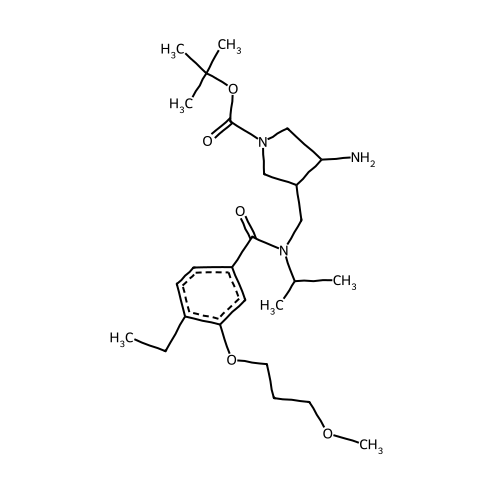 CCc1ccc(C(=O)N(CC2CN(C(=O)OC(C)(C)C)CC2N)C(C)C)cc1OCCCOC